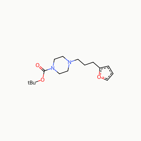 CC(C)(C)OC(=O)N1CCN(CCCc2ccco2)CC1